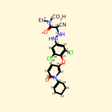 CCN(C(=O)O)C(=O)C(C#N)NNc1cc(Cl)c(Oc2ccc(=O)n(C3=CCCCC3)c2)c(Cl)c1